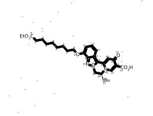 CCOC(=O)CCCCCCCCOc1cccc2c3n(nc12)C[C@@H](C(C)(C)C)n1cc(C(=O)O)c(=O)cc1-3